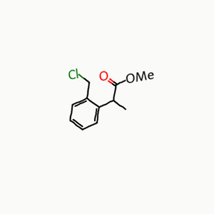 COC(=O)C(C)c1ccccc1CCl